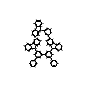 c1ccc(-c2cc(-c3cc(-c4ccccc4)cc(C4c5ccccc5-c5cc(-c6cccc(-n7c8ccccc8c8ccccc87)c6)ccc54)c3)cc(C3c4ccccc4-c4ccccc43)c2)cc1